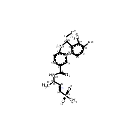 CC[C@@H](Nc1cnc(C(=O)N[C@H](C)/C=C/S(C)(=O)=O)cn1)c1cccc(F)c1Cl